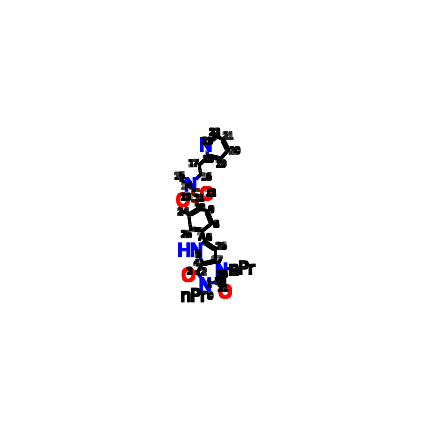 CCCn1c(=O)c2[nH]c(-c3ccc(S(=O)(=O)N(C)CCc4ccccn4)cc3)cc2n(CCC)c1=O